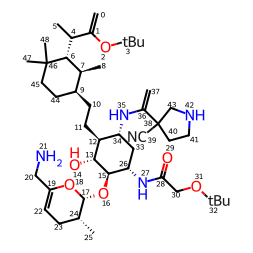 C=C(OC(C)(C)C)C(C)[C@@H]1[C@@H](C)[C@@H](CC[C@@H]2[C@@H](O)[C@H](O[C@H]3OC(CN)=CC[C@H]3C)[C@@H](NC(=O)COC(C)(C)C)C[C@H]2NC(=C)C2(C#N)CCNC2)CCC1(C)C